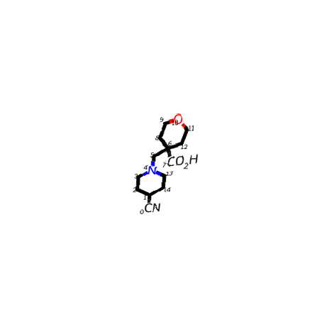 N#CC1CCN(CC2(C(=O)O)CCOCC2)CC1